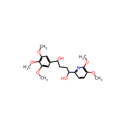 COc1ccc(C(O)CCC(O)c2cc(OC)c(OC)c(OC)c2)nc1OC